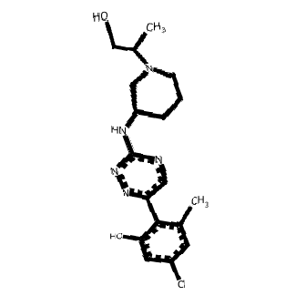 Cc1cc(Cl)cc(O)c1-c1cnc(NC2CCCN(C(C)CO)C2)nn1